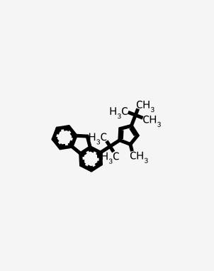 CC1C=C(C(C)(C)C)C=C1C(C)(C)c1cccc2c1Cc1ccccc1-2